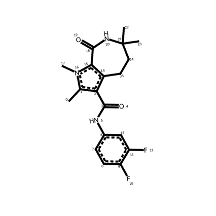 Cc1c(C(=O)Nc2ccc(F)c(F)c2)c2c(n1C)C(=O)NC(C)(C)CC2